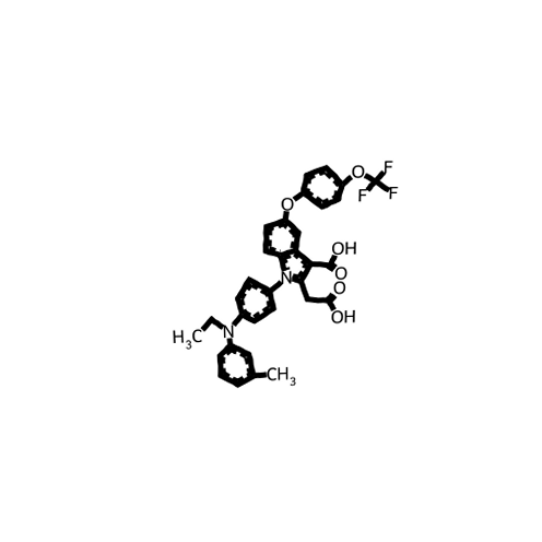 CCN(c1ccc(-n2c(CC(=O)O)c(C(=O)O)c3cc(Oc4ccc(OC(F)(F)F)cc4)ccc32)cc1)c1cccc(C)c1